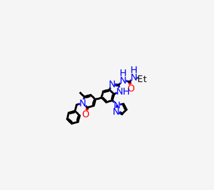 CCNC(=O)Nc1nc2cc(-c3cc(C)n(Cc4ccccc4)c(=O)c3)cc(-n3cccn3)c2[nH]1